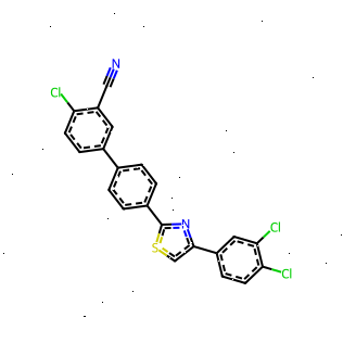 N#Cc1cc(-c2ccc(-c3nc(-c4ccc(Cl)c(Cl)c4)cs3)cc2)ccc1Cl